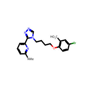 CNc1cccc(-c2nncn2CCCCOc2ccc(Br)cc2C(=O)O)n1